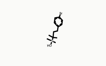 CC(C)(CCc1ccc(Br)cc1)[Si](C)(C)O